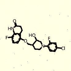 O=C1CCc2c(OCC3CCN(c4ccc(Cl)cc4F)CC3O)ccc(F)c2N1